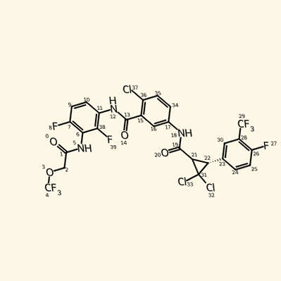 O=C(COC(F)(F)F)Nc1c(F)ccc(NC(=O)c2cc(NC(=O)C3[C@H](c4ccc(F)c(C(F)(F)F)c4)C3(Cl)Cl)ccc2Cl)c1F